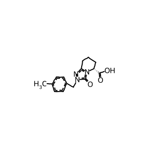 Cc1ccc(Cn2nc3n(c2=O)[C@@H](C(=O)O)CCC3)cc1